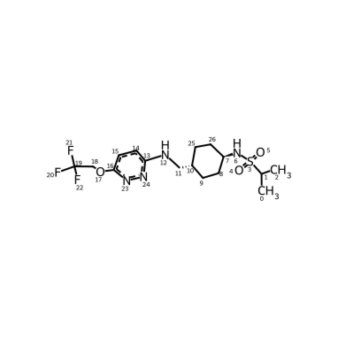 CC(C)S(=O)(=O)N[C@H]1CC[C@H](CNc2ccc(OCC(F)(F)F)nn2)CC1